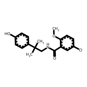 COc1ccc(Cl)cc1C(=O)NCC(C)(C)c1ccc(O)cc1